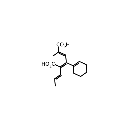 CC=CC(C(=O)O)=C(C=C(C)C(=O)O)C1=CCCCC1